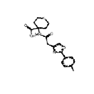 Cc1ccc(-c2nc(CC(=O)NC3(C(=O)O)CCSCC3)cs2)cc1